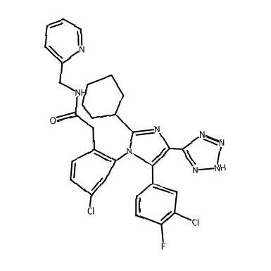 O=C(Cc1ccc(Cl)cc1-n1c(C2CCCCC2)nc(-c2nn[nH]n2)c1-c1ccc(F)c(Cl)c1)NCc1ccccn1